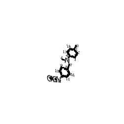 Cc1ccc(N(C)Cc2ccc(N=C=O)cc2)cc1